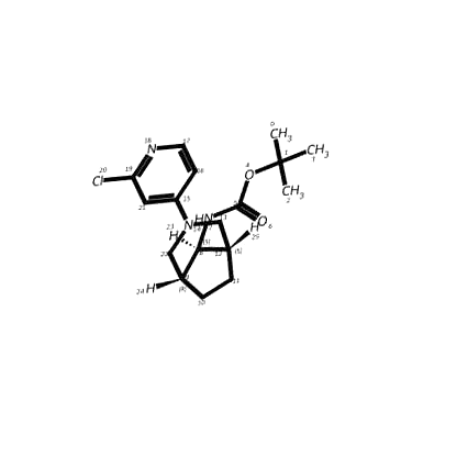 CC(C)(C)OC(=O)N[C@@H]1[C@@H]2CC[C@H]1CN(c1ccnc(Cl)c1)C2